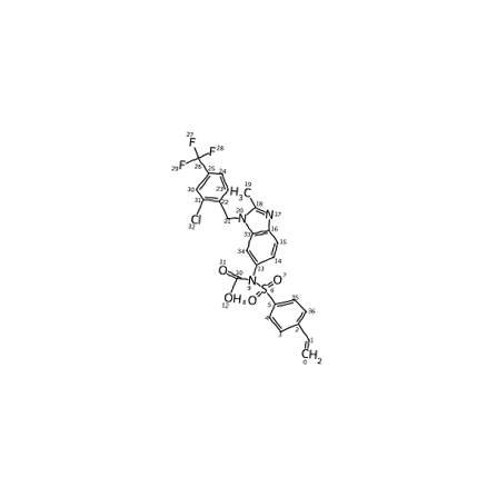 C=Cc1ccc(S(=O)(=O)N(C(=O)O)c2ccc3nc(C)n(Cc4ccc(C(F)(F)F)cc4Cl)c3c2)cc1